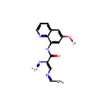 C=N/C(=C\N=C/C)C(=O)Nc1cc(OCC)cc2cccnc12